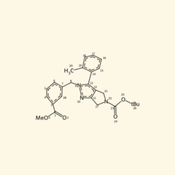 COC(=O)c1cccc(Cn2nc3c(c2-c2ccccc2C)CN(C(=O)OC(C)(C)C)C3)c1